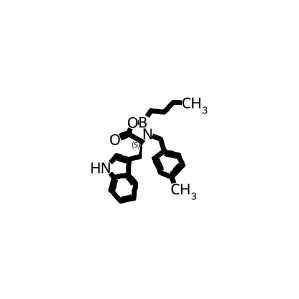 CCCCB1OC(=O)[C@H](Cc2c[nH]c3ccccc23)N1Cc1ccc(C)cc1